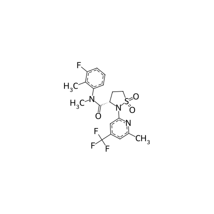 Cc1cc(C(F)(F)F)cc(N2[C@H](C(=O)N(C)c3cccc(F)c3C)CCS2(=O)=O)n1